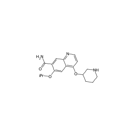 CC(C)Oc1cc2c(OC3CCCNC3)ccnc2cc1C(N)=O